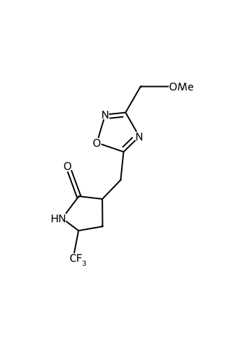 COCc1noc(CC2CC(C(F)(F)F)NC2=O)n1